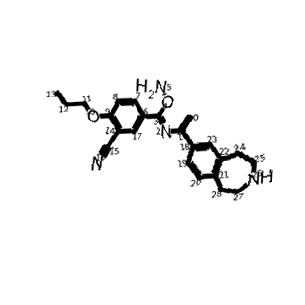 C=C(/N=C(\ON)c1ccc(OCCC)c(C#N)c1)c1ccc2c(c1)CCNCC2